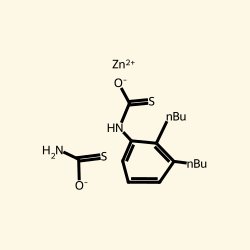 CCCCc1cccc(NC([O-])=S)c1CCCC.NC([O-])=S.[Zn+2]